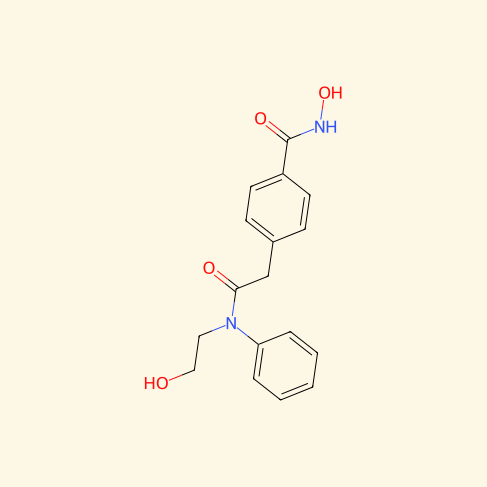 O=C(NO)c1ccc(CC(=O)N(CCO)c2ccccc2)cc1